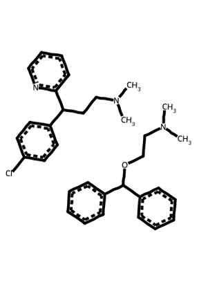 CN(C)CCC(c1ccc(Cl)cc1)c1ccccn1.CN(C)CCOC(c1ccccc1)c1ccccc1